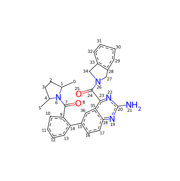 CC1CCC(C)N1C(=O)c1ccccc1-c1ccc2nc(N)nc(C(=O)N3Cc4ccccc4C3)c2c1